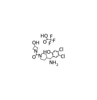 N[C@@H](c1cc(Cl)c(Cl)cc1O)C1CCN(C(=O)N2CC(O)C2)CC1.O=C(O)C(F)(F)F